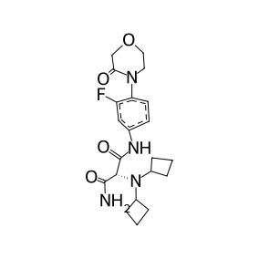 NC(=O)[C@H](C(=O)Nc1ccc(N2CCOCC2=O)c(F)c1)N(C1CCC1)C1CCC1